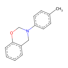 Cc1ccc(N2COc3ccccc3C2)cc1